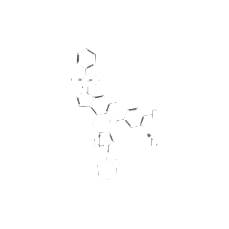 N#Cc1cc(Oc2c(F)cc3c(ccn3S(=O)(=O)c3ccccc3)c2Cc2ccn(C3CCCCO3)n2)ccc1F